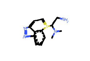 CN(C)C(CN)S1=CC=C2N=Nc3cccc1c32